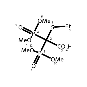 CCSC(C(=O)O)(P(=O)(OC)OC)P(=O)(OC)OC